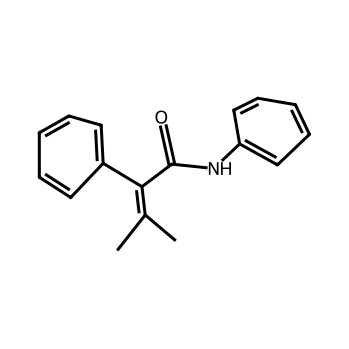 CC(C)=C(C(=O)Nc1ccccc1)c1ccccc1